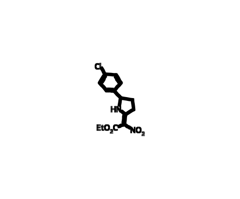 CCOC(=O)C(=C1CCC(c2ccc(Cl)cc2)N1)[N+](=O)[O-]